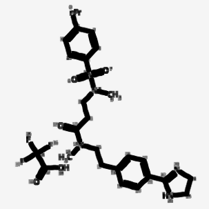 CCCc1ccc(S(=O)(=O)N(C)CCC(=O)N(C)CCc2ccc(C3=NCCN3)cc2)cc1.O=C(O)C(F)(F)F